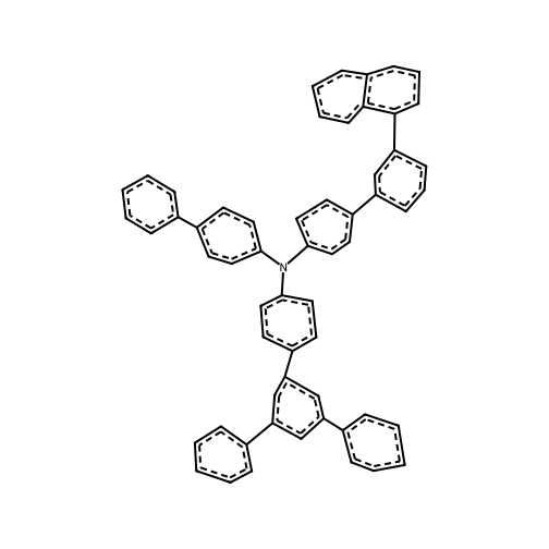 c1ccc(-c2ccc(N(c3ccc(-c4cc(-c5ccccc5)cc(-c5ccccc5)c4)cc3)c3ccc(-c4cccc(-c5cccc6ccccc56)c4)cc3)cc2)cc1